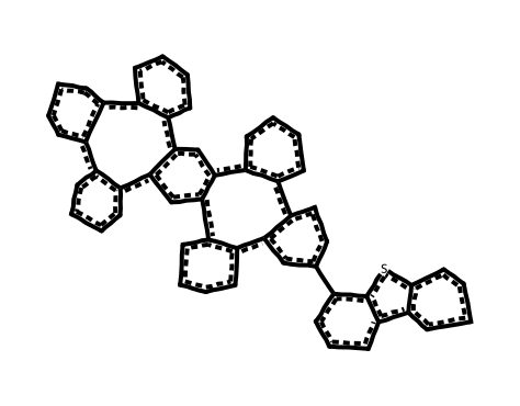 c1ccc2c(c1)sc1c(-c3ccc4c5ccccc5c5cc6c7ccccc7c7ccccc7c7ccccc7c6cc5c5ccccc5c4c3)cccc12